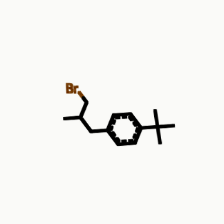 CC(CBr)Cc1ccc(C(C)(C)C)cc1